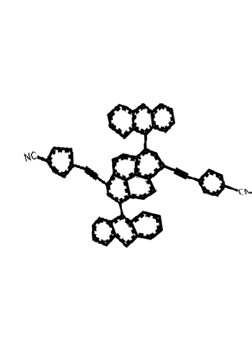 N#Cc1ccc(C#Cc2cc(-c3c4ccccc4cc4ccccc34)c3ccc4c(C#Cc5ccc(C#N)cc5)cc(-c5c6ccccc6cc6ccccc56)c5ccc2c3c45)cc1